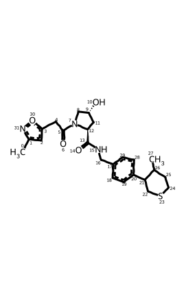 Cc1cc(CC(=O)N2C[C@H](O)C[C@H]2C(=O)NCc2ccc(C3CSCCC3C)cc2)on1